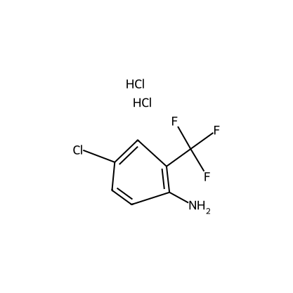 Cl.Cl.Nc1ccc(Cl)cc1C(F)(F)F